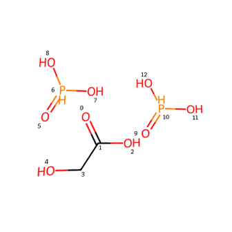 O=C(O)CO.O=[PH](O)O.O=[PH](O)O